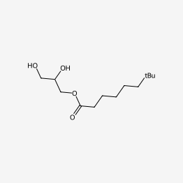 CC(C)(C)CCCCCC(=O)OCC(O)CO